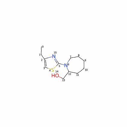 CCc1csc(N2CCCCCC2CO)n1